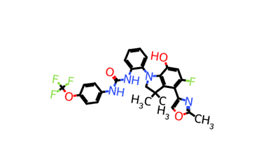 Cc1nc(-c2c(F)cc(O)c3c2C(C)(C)CN3c2ccccc2NC(=O)Nc2ccc(OC(F)(F)F)cc2)co1